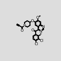 C#CC(=O)N1CCC(Oc2cc3c(C(=O)c4ccc(Cl)c(Cl)c4F)ncnc3cc2OC)CC1